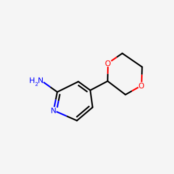 Nc1cc(C2COCCO2)ccn1